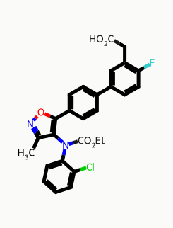 CCOC(=O)N(c1ccccc1Cl)c1c(C)noc1-c1ccc(-c2ccc(F)c(CC(=O)O)c2)cc1